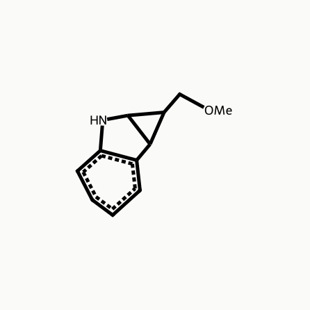 COCC1C2Nc3ccccc3C12